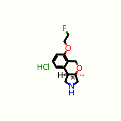 C[C@]12CNC[C@H]1c1cccc(OCCF)c1CO2.Cl